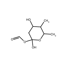 CC1OC(O)(OC=O)CC(O)C1C